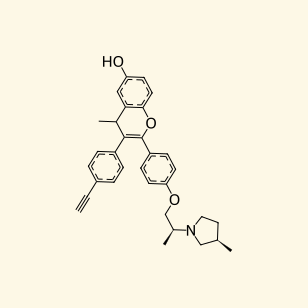 C#Cc1ccc(C2=C(c3ccc(OC[C@H](C)N4CC[C@@H](C)C4)cc3)Oc3ccc(O)cc3C2C)cc1